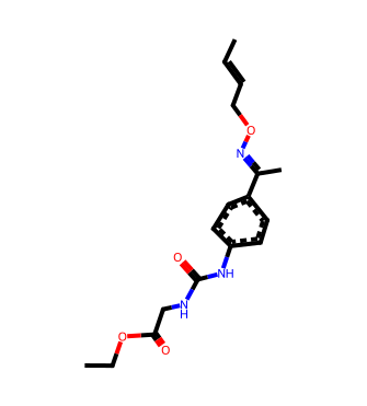 CC=CCON=C(C)c1ccc(NC(=O)NCC(=O)OCC)cc1